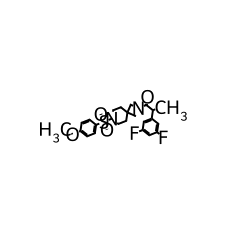 COc1ccc(S(=O)(=O)N2CCC3(CC2)CN(C(=O)C(C)c2cc(F)cc(F)c2)C3)cc1